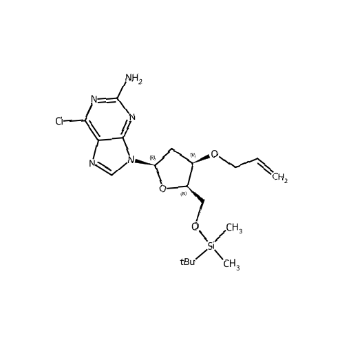 C=CCO[C@@H]1C[C@H](n2cnc3c(Cl)nc(N)nc32)O[C@@H]1CO[Si](C)(C)C(C)(C)C